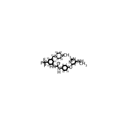 CNc1cc(Oc2ccc(NC(=O)Nc3cc(CN4CCN(C)CC4)cc(C(F)(F)F)c3)cc2)ncn1